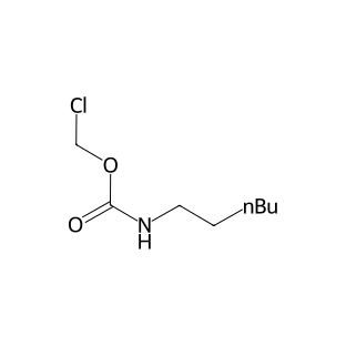 CCCCCCNC(=O)OCCl